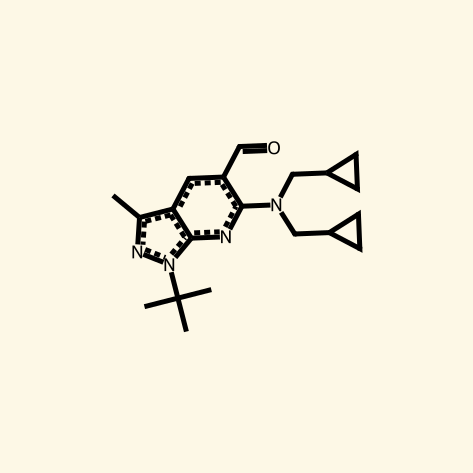 Cc1nn(C(C)(C)C)c2nc(N(CC3CC3)CC3CC3)c(C=O)cc12